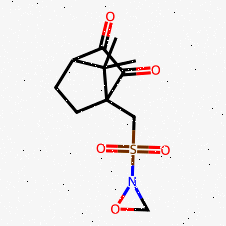 CC1(C)C2CCC1(CS(=O)(=O)N1CO1)C(=O)C2=O